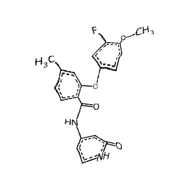 COc1ccc(Oc2cc(C)ccc2C(=O)Nc2cc[nH]c(=O)c2)cc1F